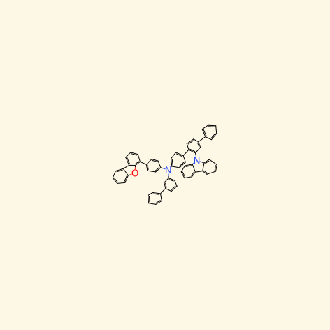 c1ccc(-c2cccc(N(c3ccc(-c4ccc(-c5ccccc5)cc4-n4c5ccccc5c5ccccc54)cc3)c3ccc(-c4cccc5c4oc4ccccc45)cc3)c2)cc1